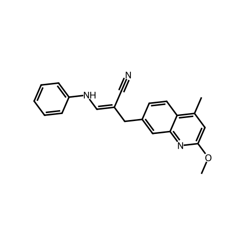 COc1cc(C)c2ccc(CC(C#N)=CNc3ccccc3)cc2n1